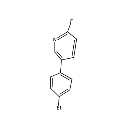 CCc1ccc(-c2ccc(F)nc2)cc1